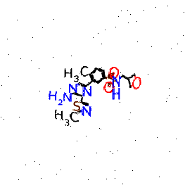 Cc1ncc(-c2nc(-c3cc(S(=O)(=O)NCC4COC4)ccc3C)cnc2N)s1